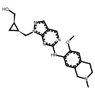 COc1cc2c(cc1Nc1ncc3cnn(C[C@H]4C[C@H]4CO)c3n1)CN(C)CC2